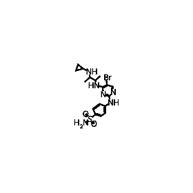 CC(Nc1nc(Nc2ccc(S(N)(=O)=O)cc2)ncc1Br)C(C)NC1CC1